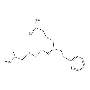 CCCCC(CC)COCC(COc1ccccc1)OCCOCC(C)OC